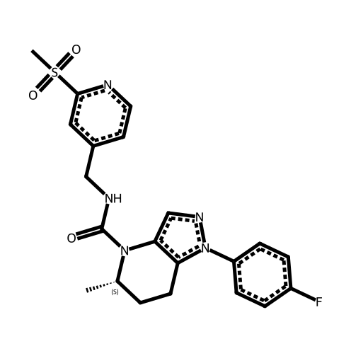 C[C@H]1CCc2c(cnn2-c2ccc(F)cc2)N1C(=O)NCc1ccnc(S(C)(=O)=O)c1